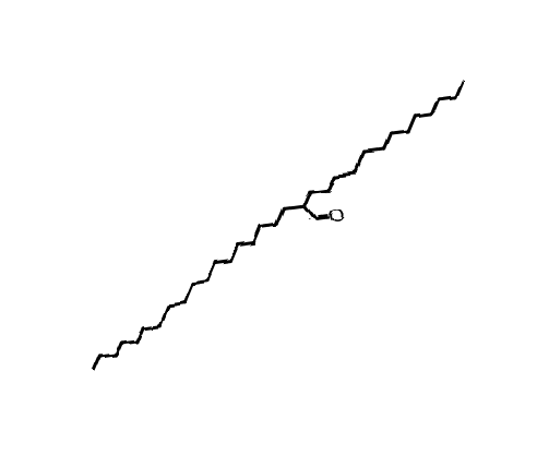 CCCCCCCCCCCCCCCCCCC([C]=O)CCCCCCCCCCCCC